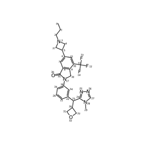 CCCN1CC(c2cc3c(c(C(F)(F)F)c2)CN(c2cccc(C(c4nncn4C)C4COC4)c2)C3=O)C1